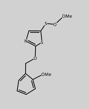 COOSc1cnc(OCc2ccccc2OC)s1